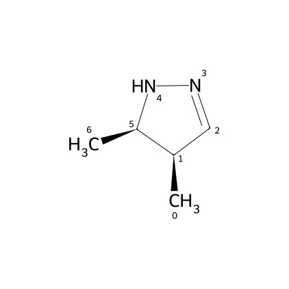 C[C@@H]1C=NN[C@@H]1C